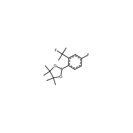 CC(C)(F)c1cc(F)ccc1B1OC(C)(C)C(C)(C)O1